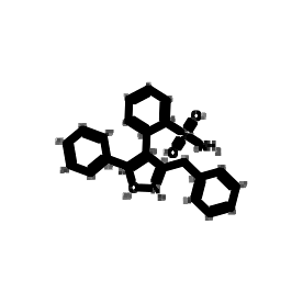 NS(=O)(=O)c1ccccc1-c1c(Cc2ccccc2)noc1-c1ccccc1